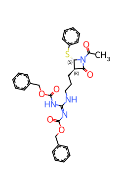 CC(=O)N1C(=O)[C@@H](CCCNC(=NC(=O)OCc2ccccc2)NC(=O)OCc2ccccc2)[C@@H]1Sc1ccccc1